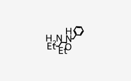 CCC(CC)C(N)C(=O)NCc1ccccc1